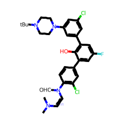 CN(C)/C=C\N(C=O)c1ccc(-c2cc(F)cc(-c3cc(Cl)cc(N4CCN(C(C)(C)C)CC4)c3)c2O)cc1Cl